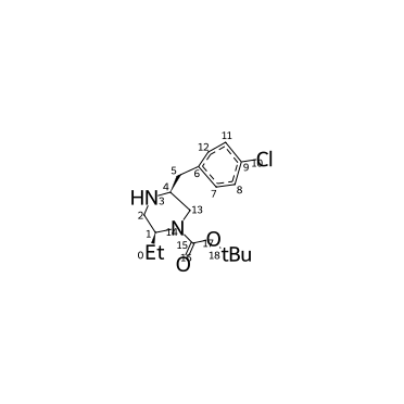 CC[C@H]1CN[C@@H](Cc2ccc(Cl)cc2)CN1C(=O)OC(C)(C)C